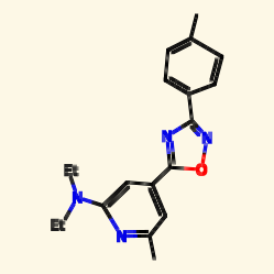 CCN(CC)c1cc(-c2nc(-c3ccc(C)cc3)no2)cc(C)n1